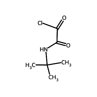 CC(C)(C)NC(=O)C(=O)Cl